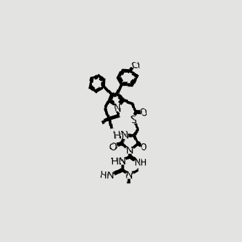 CN(C)C(=N)NC(=N)N1C(=O)NC(CSC(=O)Cc2c(-c3ccc(Cl)cc3)c(-c3ccccc3)c3n2CC(C)(C)C3)C1=O